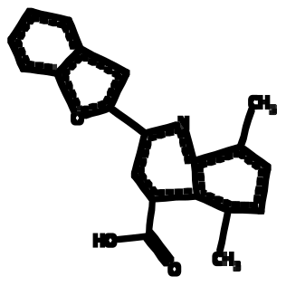 Cc1ccc(C)c2c(C(=O)O)cc(-c3cc4ccccc4o3)nc12